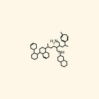 CC1=CC=C(C(C)CC(CN)C(CCC(C)C2CCC(C3CCCCC3C3CC=CCC3)C3C=CCCC32)CNC2CCC3CCCCC3C2)C=CC1